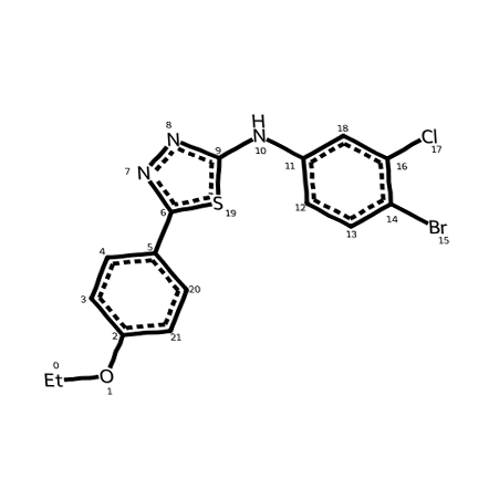 CCOc1ccc(-c2nnc(Nc3ccc(Br)c(Cl)c3)s2)cc1